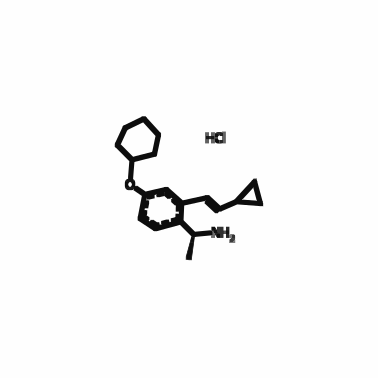 C[C@H](N)c1ccc(OC2CCCCC2)cc1/C=C/C1CC1.Cl